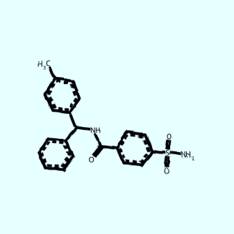 Cc1ccc(C(NC(=O)c2ccc(S(N)(=O)=O)cc2)c2ccccc2)cc1